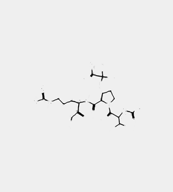 CC(C)C(NC(=O)O)C(=O)N1CCCC1C(=O)NC(CCCNC(=N)N)C(=O)CF.O=C(O)C(F)(F)F